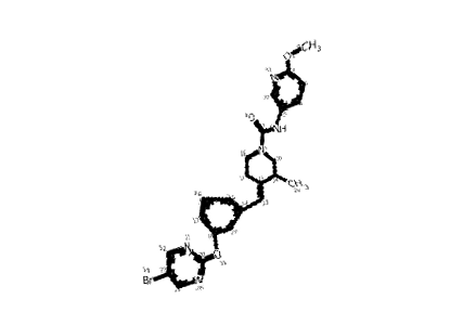 COc1ccc(NC(=O)N2CCC(=Cc3cccc(Oc4ncc(Br)cn4)c3)C(C)C2)cn1